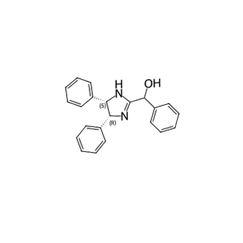 OC(C1=N[C@H](c2ccccc2)[C@H](c2ccccc2)N1)c1ccccc1